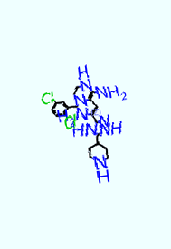 NC1=C(/C=C(\N)C2=NNC(C3CCNCC3)N2)N(Cc2cc(Cl)ccc2Cl)CCN1